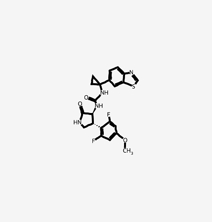 COc1cc(F)c([C@@H]2CNC(=O)[C@H]2NC(=O)NC2(c3ccc4ncsc4c3)CC2)c(F)c1